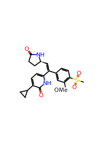 COc1cc(C(=C[C@H]2CCC(=O)N2)c2ccc(C3CC3)c(=O)[nH]2)ccc1S(C)(=O)=O